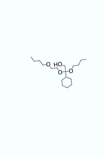 CCCCOCCOC(CO)(OCCCC)C1CCCCC1